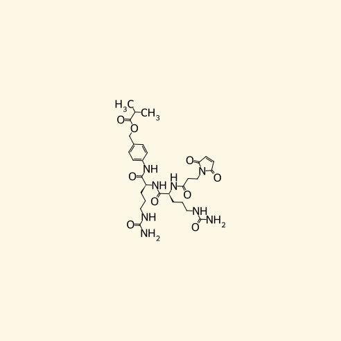 CC(C)C(=O)OCc1ccc(NC(=O)[C@H](CCCNC(N)=O)NC(=O)[C@H](CCCNC(N)=O)NC(=O)CCN2C(=O)C=CC2=O)cc1